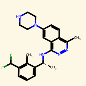 Cc1c(C(F)F)cccc1[C@@H](C)Nc1nnc(C)c2ccc(N3CCNCC3)cc12